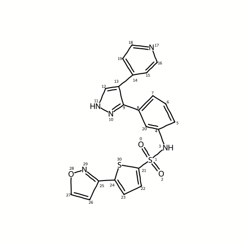 O=S(=O)(Nc1cccc(-c2n[nH]cc2-c2ccncc2)c1)c1ccc(-c2ccon2)s1